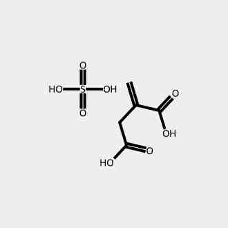 C=C(CC(=O)O)C(=O)O.O=S(=O)(O)O